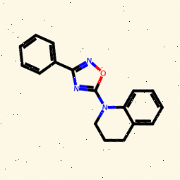 c1ccc(-c2noc(N3CCCc4ccccc43)n2)cc1